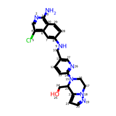 Nc1ncc(Cl)c2cc(NCc3ccc(N4CCn5nccc5C4CO)nc3)ccc12